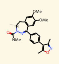 CNC(=O)N1N=C(c2ccc(-c3c(C)noc3C)cc2)c2cc(OC)c(OC)cc2C[C@H]1C